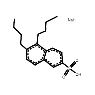 CCCCc1ccc2cc(S(=O)(=O)O)ccc2c1CCCC.[NaH]